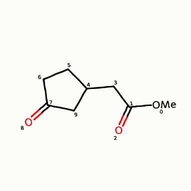 COC(=O)CC1CCC(=O)C1